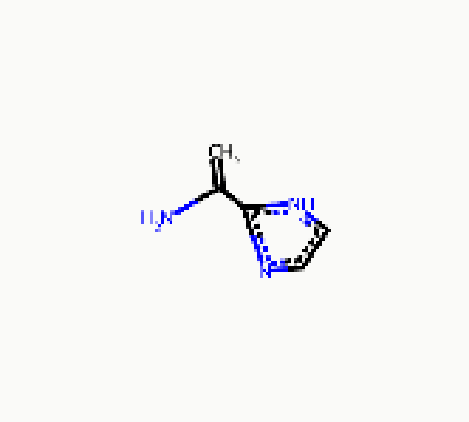 C=C(N)c1ncc[nH]1